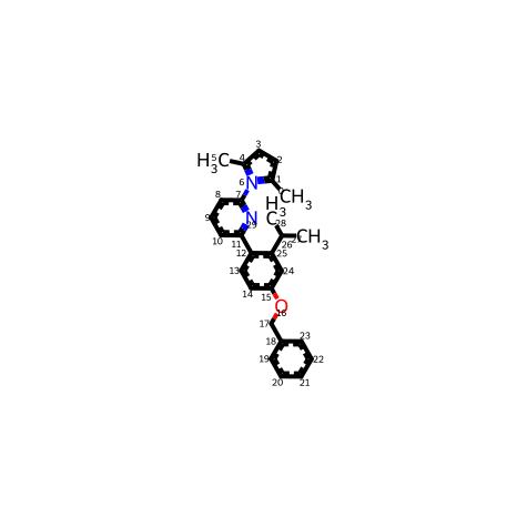 Cc1ccc(C)n1-c1cccc(-c2ccc(OCc3ccccc3)cc2C(C)C)n1